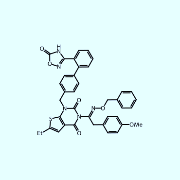 CCc1cc2c(=O)n(/C(Cc3ccc(OC)cc3)=N/OCc3ccccc3)c(=O)n(Cc3ccc(-c4ccccc4-c4noc(=O)[nH]4)cc3)c2s1